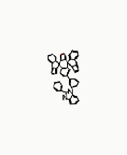 c1ccc(-c2nc3ccccc3n2-c2cccc(-c3ccc4c(c3)C3(c5ccccc5-c5ccccc53)c3ccccc3C43c4ccccc4-c4ccccc43)c2)cc1